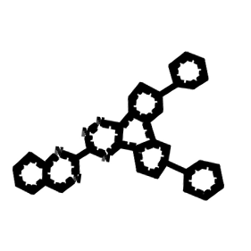 c1ccc(-c2ccc3c(c2)c2cc(-c4ccccc4)ccc2c2nc(-c4ncc5ccccc5n4)nnc32)cc1